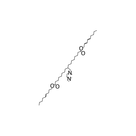 CCCC/C=C/C=C/COC(=O)CCCCCCCC(CCCCCCCC(=O)OCCC/C=C/CCCC)CN(C)CCN(C)C